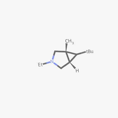 CCN1C[C@H]2C(C(C)(C)C)[C@@]2(C)C1